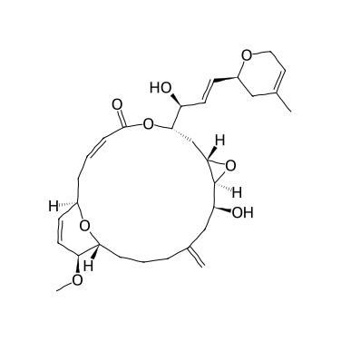 C=C1CCC[C@H]2O[C@@H](C=C[C@@H]2OC)C/C=C\C(=O)O[C@H]([C@@H](O)/C=C/[C@@H]2CC(C)=CCO2)C[C@@H]2O[C@H]2[C@@H](O)C1